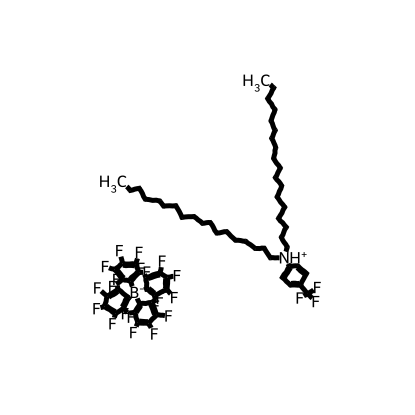 CCCCCCCCCCCCCCCCCC[NH+](CCCCCCCCCCCCCCCCCC)c1ccc(C(F)(F)F)cc1.Fc1c(F)c(F)c([B-](c2c(F)c(F)c(F)c(F)c2F)(c2c(F)c(F)c(F)c(F)c2F)c2c(F)c(F)c(F)c(F)c2F)c(F)c1F